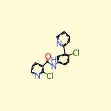 O=C(Nc1ccc(Cl)c(-c2ccccn2)c1)c1cccnc1Cl